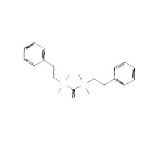 C[Si](C)(CCc1ccccc1)C(=O)[Si](C)(C)CCc1ccccc1